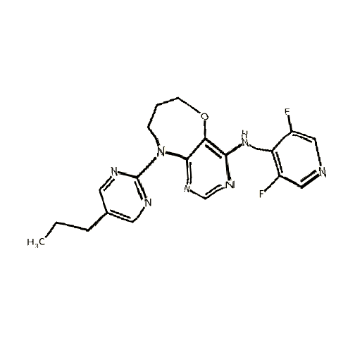 CCCc1cnc(N2CCCOc3c(Nc4c(F)cncc4F)ncnc32)nc1